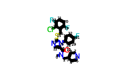 CN(Cc1ccncc1)C(=O)c1cnc(SCc2c(F)ccc(F)c2Cl)n1-c1ccc(F)cc1